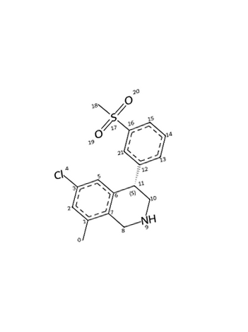 Cc1cc(Cl)cc2c1CNC[C@H]2c1cccc(S(C)(=O)=O)c1